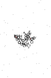 CN(C)C(=O)c1cc(NC(C(=O)O[C@H]2CN3CCC2CC3)c2ccccc2)cc(C(=O)O[C@@H](Cc2c(Cl)c[n+]([O-])cc2Cl)c2ccc(OC(F)F)c(OCC3CC3)c2)c1